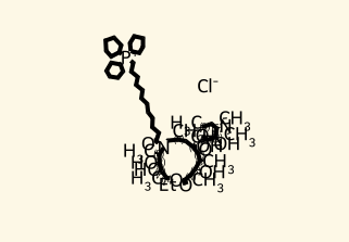 CC[C@H]1OC(=O)[C@H](C)[C@@H](O)[C@H](C)[C@@H](O[C@@H]2O[C@H](C)C[C@H](N(C)C)[C@H]2O)[C@](C)(O)C[C@@H](C)CN(C(=O)CCCCCCCCCCC[P+](C2CCCCC2)(C2CCCCC2)C2CCCCC2)[C@H](C)[C@@H](O)[C@]1(C)O.[Cl-]